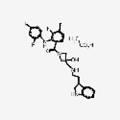 CC(=O)O.O=C(c1ccc(F)c(F)c1Nc1ccc(I)cc1F)N1CC(O)(CNCCC2CNc3ccccc32)C1